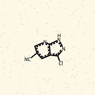 N#Cc1cnc2[nH]nc(Cl)c2c1